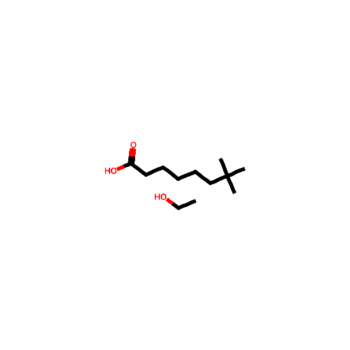 CC(C)(C)CCCCCC(=O)O.CCO